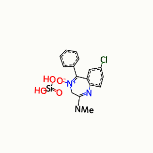 CNC1=Nc2ccc(Cl)cc2C(c2ccccc2)=[N+]([O-])C1.O=[Si](O)O